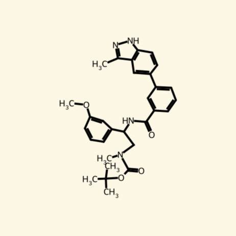 COc1cccc(C(CN(C)C(=O)OC(C)(C)C)NC(=O)c2cccc(-c3ccc4[nH]nc(C)c4c3)c2)c1